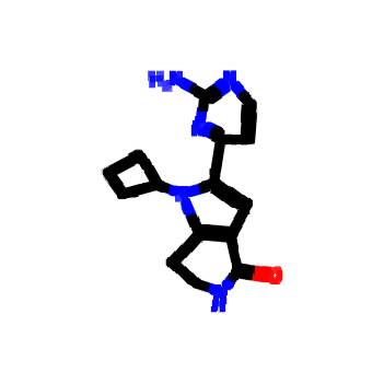 Nc1nccc(-c2cc3c(n2C2CCC2)CCNC3=O)n1